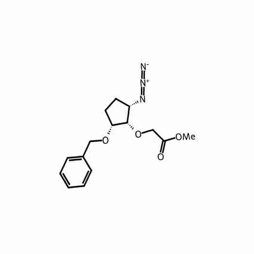 COC(=O)CO[C@H]1[C@@H](N=[N+]=[N-])CC[C@H]1OCc1ccccc1